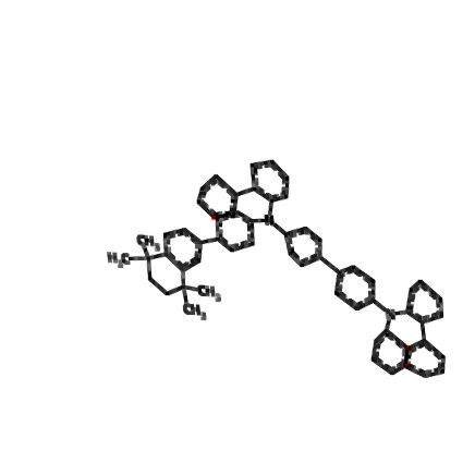 CC1(C)CCC(C)(C)c2cc(-c3ccc(N(c4ccc(-c5ccc(N(c6ccccc6)c6ccccc6-c6ccccc6)cc5)cc4)c4ccccc4-c4ccccc4)cc3)ccc21